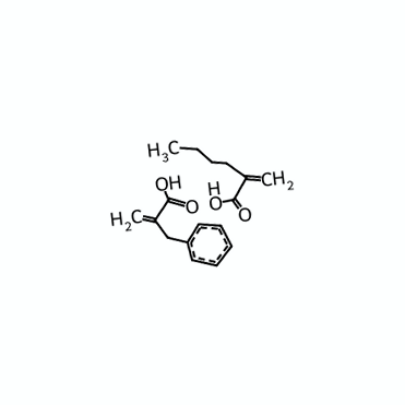 C=C(CCCC)C(=O)O.C=C(Cc1ccccc1)C(=O)O